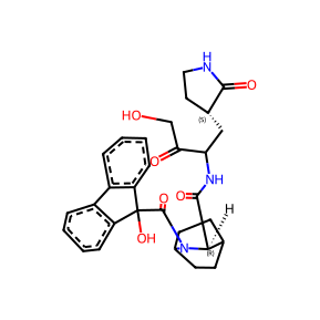 O=C(CO)C(C[C@@H]1CCNC1=O)NC(=O)[C@H]1C2CCC(CC2)N1C(=O)C1(O)c2ccccc2-c2ccccc21